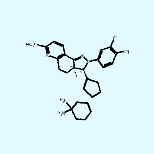 N#Cc1ccc(N2N=C3c4ccc(C(=O)O)nc4CC[C@@H]3[C@@H]2C2CCCC2)cc1Cl.NC1(N)CCCCC1